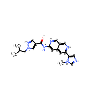 CC(C)Cn1cc(C(=O)Nc2cc3cc(-c4cncn4C)ncc3cn2)cn1